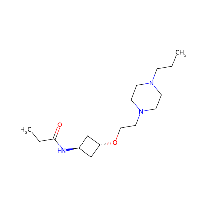 CCCN1CCN(CCO[C@H]2C[C@H](NC(=O)CC)C2)CC1